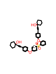 O=S(=O)(c1ccc(Oc2ccc(C#CC3(O)CCCCC3)cc2)cc1)c1ccccc1Oc1ccc(C#CC2(O)CCCCC2)cc1